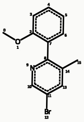 COc1ccccc1-c1ncc(Br)cc1C